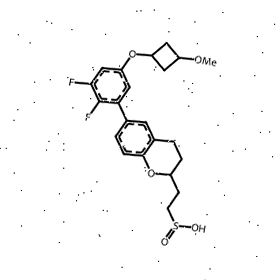 COC1CC(Oc2cc(F)c(F)c(-c3ccc4c(c3)CCC(CCS(=O)O)O4)c2)C1